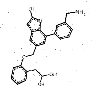 Cc1cc2cc(COc3ccccc3CC(O)O)cc(-c3cccc(CN)c3)c2o1